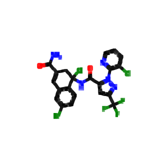 NC(=O)C1=Cc2cc(Br)ccc2C(Cl)(NC(=O)c2cc(C(F)(F)F)nn2-c2ncccc2Cl)C1